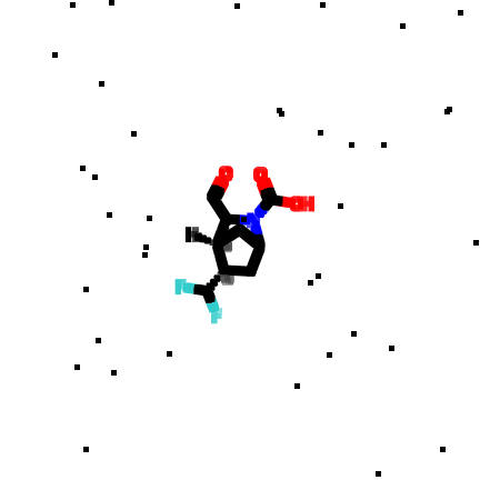 O=CC1[C@H]2CC(C[C@@H]2C(F)F)N1C(=O)O